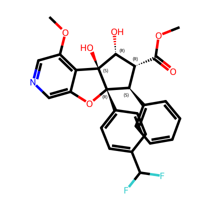 COC(=O)[C@H]1[C@@H](O)[C@@]2(O)c3c(OC)cncc3O[C@@]2(c2ccc(C(F)F)cc2)[C@@H]1c1ccccc1